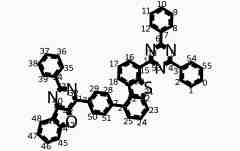 c1ccc(-c2nc(-c3ccccc3)nc(-c3cccc4c3sc3cccc(-c5ccc(-c6nc(-c7ccccc7)nc7c6oc6ccccc67)cc5)c34)n2)cc1